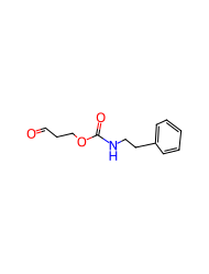 O=CCCOC(=O)NCCc1ccccc1